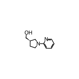 OC[C@@H]1CCN(c2ccccn2)C1